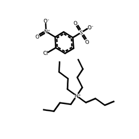 CCCC[N+](CCCC)(CCCC)CCCC.O=[N+]([O-])c1cc(S(=O)(=O)[O-])ccc1Cl